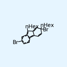 CCCCCCC1=c2cc(Br)ccc2=C2C=CC(Br)(CCCCCC)C=C21